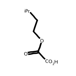 CC(C)CCOC(=O)C(=O)O